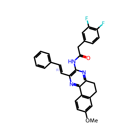 COc1ccc2c(c1)CCc1nc(NC(=O)Cc3ccc(F)c(F)c3)c(/C=C/c3ccccc3)nc1-2